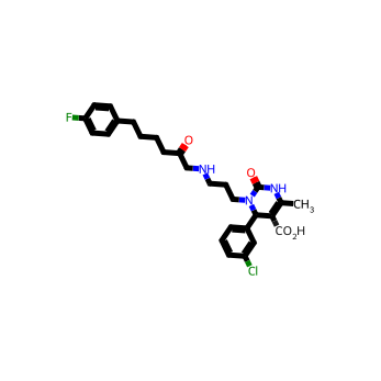 CC1=C(C(=O)O)C(c2cccc(Cl)c2)N(CCCNCC(=O)CCCCc2ccc(F)cc2)C(=O)N1